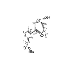 CC(C)(C)OC(=O)NCc1cccc(-c2cc(CO)cc3ccoc23)c1